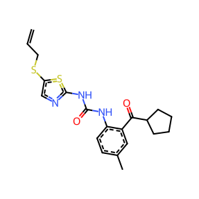 C=CCSc1cnc(NC(=O)Nc2ccc(C)cc2C(=O)C2CCCC2)s1